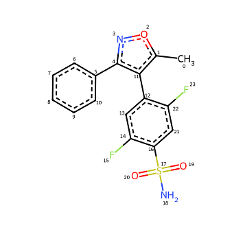 Cc1onc(-c2ccccc2)c1-c1cc(F)c(S(N)(=O)=O)cc1F